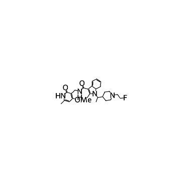 COc1cc(C)[nH]c(=O)c1CNC(=O)C1=C(C)N(C(C)C2CCN(CCF)CC2)C2CC=CC=C12